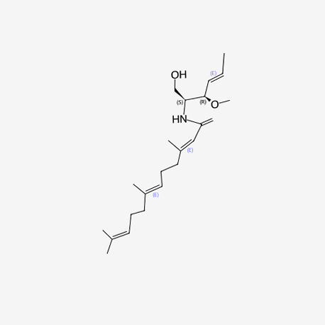 C=C(/C=C(\C)CC/C=C(\C)CCC=C(C)C)N[C@@H](CO)[C@@H](/C=C/C)OC